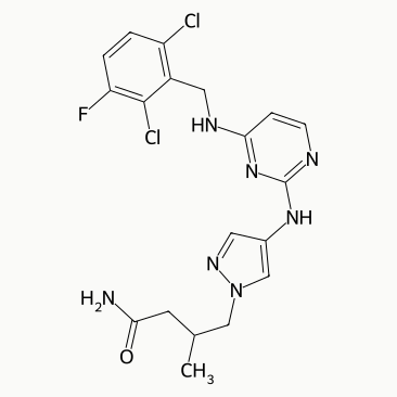 CC(CC(N)=O)Cn1cc(Nc2nccc(NCc3c(Cl)ccc(F)c3Cl)n2)cn1